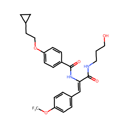 O=C(NCCCO)/C(=C/c1ccc(OC(F)(F)F)cc1)NC(=O)c1ccc(OCCC2CC2)cc1